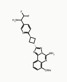 COc1cccc2c1nc(N)n1nc([C@H]3C[C@H](c4ccc(C(N)C(F)F)cn4)C3)nc21